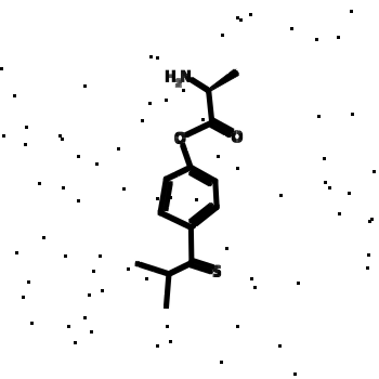 CC(C)C(=S)c1ccc(OC(=O)[C@H](C)N)cc1